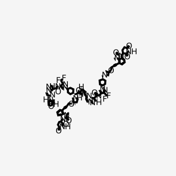 Cn1c(=O)n(C2CCC(=O)NC2=O)c2cccc(C#CCOC3CN(C[C@H]4CC[C@H](n5cc(NC(=O)c6cnn7ccc(N8C[C@H]9C[C@@H]8C(C([C@H]8CC[C@H](n%10cc(NC(=O)c%11cnn%12ccc(N%13C[C@H]%14C[C@@H]%13CO%14)nc%11%12)c(C(F)F)n%10)CC8)N8CC[C@H](OCC#Cc%10cccc%11c%10n(C)c(=O)n%11C%10CCC(=O)NC%10=O)C8)O9)nc67)c(C(F)F)n5)CC4)C3)c21